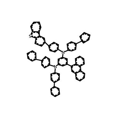 c1ccc(-c2ccc(N(c3ccc(-c4ccccc4)cc3)c3cc(-c4cc5ccccc5c5ccccc45)cc(N(c4ccc(-c5ccccc5)cc4)c4ccc(-c5ccc6sc7ccccc7c6c5)cc4)c3)cc2)cc1